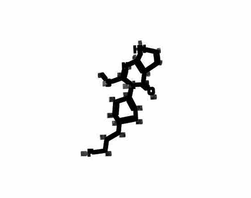 CSc1nc2[nH]ccc2c(=O)n1-c1ccc(CCCF)cc1